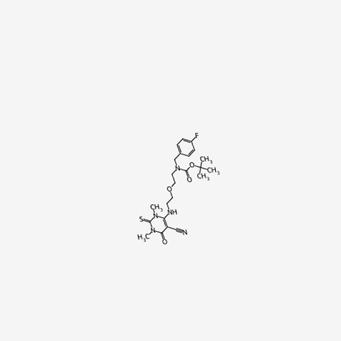 Cn1c(NCCOCCN(Cc2ccc(F)cc2)C(=O)OC(C)(C)C)c(C#N)c(=O)n(C)c1=S